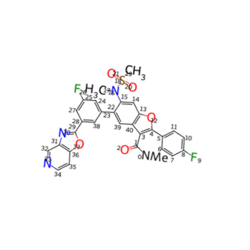 CNC(=O)c1c(-c2ccc(F)cc2)oc2cc(N(C)S(C)(=O)=O)c(-c3cc(F)cc(-c4nc5cnccc5o4)c3)cc12